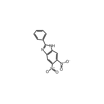 O=[N+]([O-])c1cc2nc(-c3ccccc3)[nH]c2cc1[N+](=O)[O-]